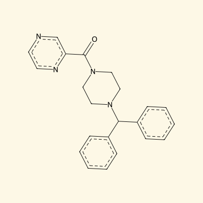 O=C(c1cnccn1)N1CCN(C(c2ccccc2)c2ccccc2)CC1